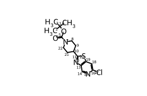 CC(C)(C)OC(=O)N1CCC(c2nc3cnc(Cl)cc3s2)CC1